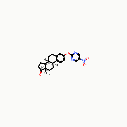 C[C@]12CC[C@@H]3c4ccc(Oc5ncc([N+](=O)[O-])cn5)cc4CC[C@H]3[C@@H]1CCC2=O